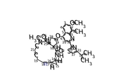 COc1ccc2c(O[C@@H]3C[C@H]4C(=O)N[C@@H]5C[C@H]5/C=C\CCCCN(C)C(=O)[C@@H]4C3)cc(-c3nc(C(C)C)cs3)nc2c1C